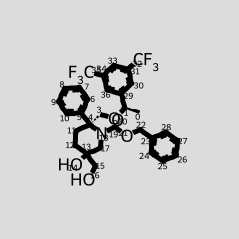 C[C@@H](OC[C@@]1(c2ccccc2)CCC(O)(CO)CN1C(=O)OCc1ccccc1)c1cc(C(F)(F)F)cc(C(F)(F)F)c1